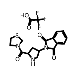 O=C(C1CC(N2C(=O)c3ccccc3C2=O)CN1)N1CCSC1.O=C(O)C(F)(F)F